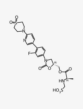 C[C@@H](NCS(=O)(=O)O)C(=O)OC[C@H]1CN(c2ccc(-c3ccc(N4CCS(=O)(=O)CC4)nc3)c(F)c2)C(=O)O1